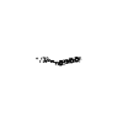 C=CC(=O)OCCCCCCOc1ccc(C2CCC(c3ccc(-c4ccc(F)cc4)cc3)CC2)cc1